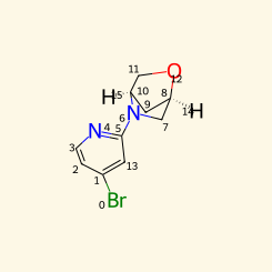 Brc1ccnc(N2C[C@H]3C[C@@H]2CO3)c1